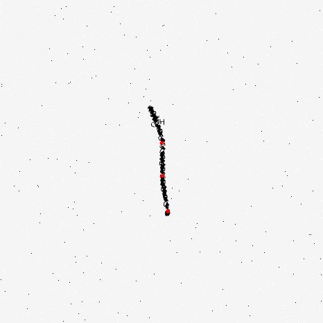 CCCOCCCNC(=O)CCOCCOCCOCCOCCOCCOCCOCCOCCOCCOCCOCCOCCOC(C)(C)C